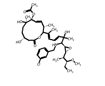 CC[C@H](OC)[C@@H](C)[C@H]1O[C@@H]1C(NCc1cccc(Cl)c1)C(C)(O)/C=C/C=C(\C)C1OC(=O)C[C@H](O)CC[C@@](C)(O)[C@@H](OC(C)=O)/C=C/[C@@H]1C